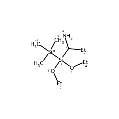 CCO[Si](OCC)(C(N)CC)[Si](C)(C)C